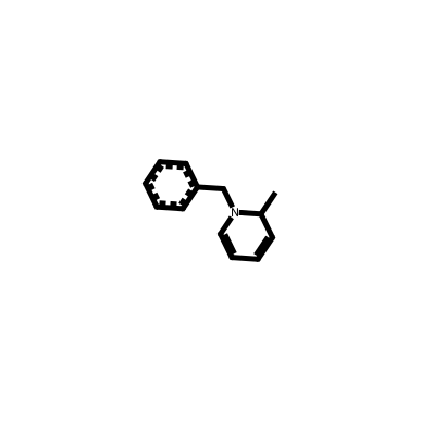 CC1C=CC=CN1Cc1ccccc1